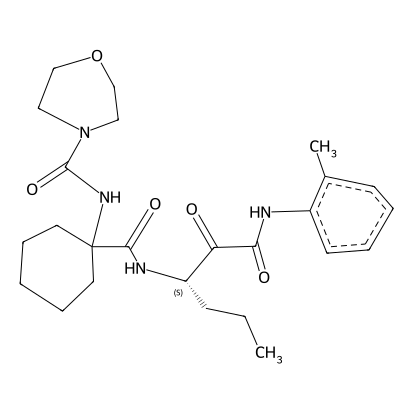 CCC[C@H](NC(=O)C1(NC(=O)N2CCOCC2)CCCCC1)C(=O)C(=O)Nc1ccccc1C